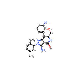 Cc1ccc(C)c(-n2nc3c4c([nH]c(=O)c3c2N)COc2c(N)cccc2-4)c1